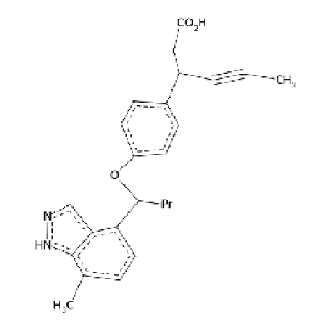 CC#CC(CC(=O)O)c1ccc(OC(c2ccc(C)c3[nH]ncc23)C(C)C)cc1